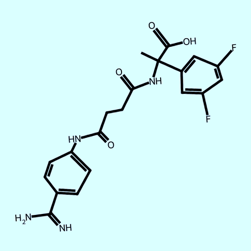 CC(NC(=O)CCC(=O)Nc1ccc(C(=N)N)cc1)(C(=O)O)c1cc(F)cc(F)c1